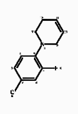 Fc1cc(Cl)ccc1N1CC=[C]CC1